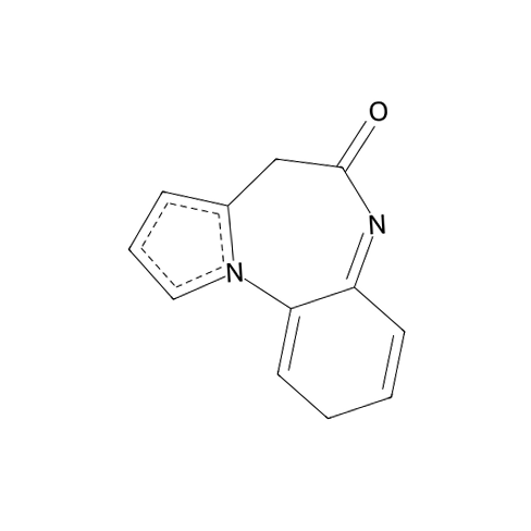 O=C1Cc2cccn2C2=CCC=CC2=N1